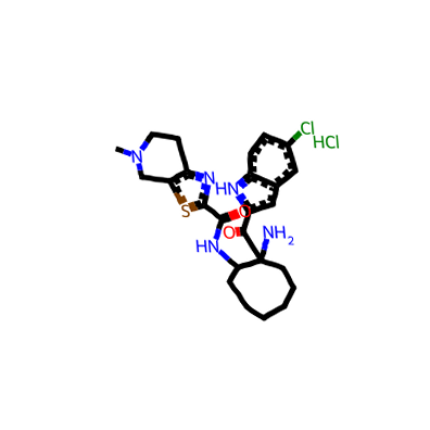 CN1CCc2nc(C(=O)NC3CCCCCCC3(N)C(=O)c3cc4cc(Cl)ccc4[nH]3)sc2C1.Cl